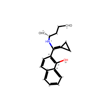 O=CCC[C@@H](C=O)NC(=C1CC1)c1ccc2ccccc2c1O